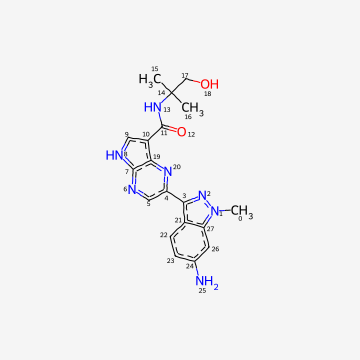 Cn1nc(-c2cnc3[nH]cc(C(=O)NC(C)(C)CO)c3n2)c2ccc(N)cc21